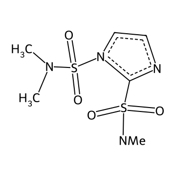 CNS(=O)(=O)c1nccn1S(=O)(=O)N(C)C